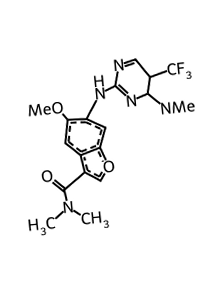 CNC1N=C(Nc2cc3occ(C(=O)N(C)C)c3cc2OC)N=CC1C(F)(F)F